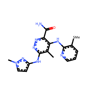 CSc1cccnc1Nc1c(C(N)=O)nnc(Nc2ccn(C)n2)c1C